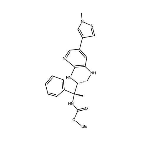 Cn1cc(-c2cnc3c(c2)NC[C@H]([C@](C)(NC(=O)OC(C)(C)C)c2ccccc2)N3)cn1